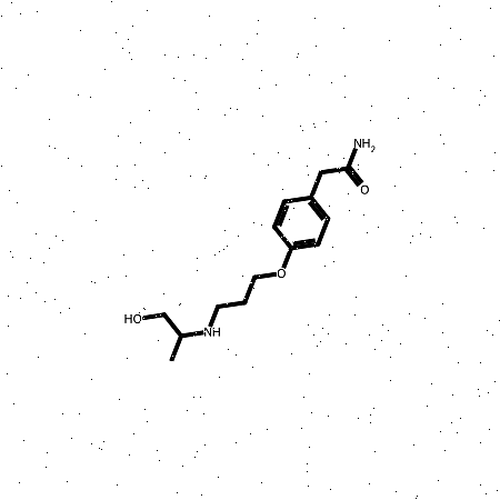 CC(CO)NCCCOc1ccc(CC(N)=O)cc1